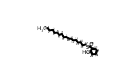 CCCCCCCCCCCCCCCCCCSC(=O)c1ccccc1O